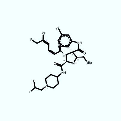 C=C(/C=C\C=C(\Cl)CF)[C@H]1[C@H](C(=O)NC2CCN(CC(F)F)CC2)N[C@H](CC(C)(C)C)[C@]12C(=O)Nc1cc(Cl)ccc12